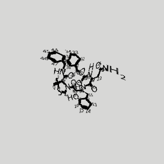 CC1(C)SCN(C(=O)[C@@H](O)[C@H](Cc2ccccc2)NC(=O)[C@H](CC(N)=O)NC(=O)OCc2ccccc2)[C@@H]1C(=O)NCc1ccccc1